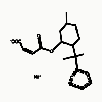 CC1CCC(C(C)(C)c2ccccc2)C(OC(=O)/C=C\C(=O)[O-])C1.[Na+]